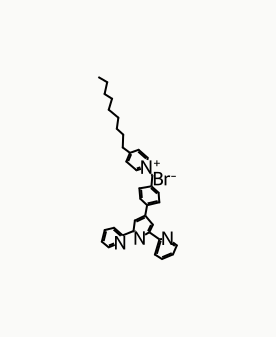 CCCCCCCCCc1cc[n+](Cc2ccc(-c3cc(-c4ccccn4)nc(-c4ccccn4)c3)cc2)cc1.[Br-]